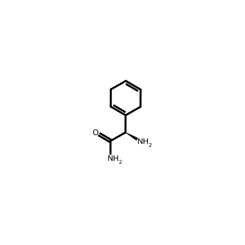 NC(=O)[C@H](N)C1=CCC=CC1